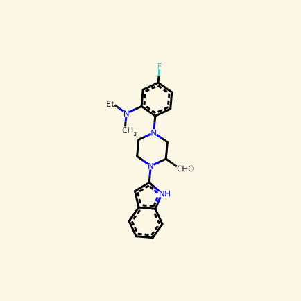 CCN(C)c1cc(F)ccc1N1CCN(c2cc3ccccc3[nH]2)C(C=O)C1